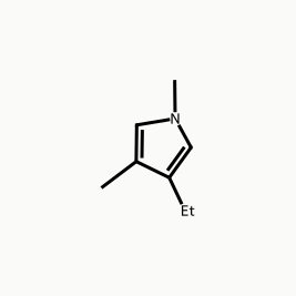 CCc1cn(C)cc1C